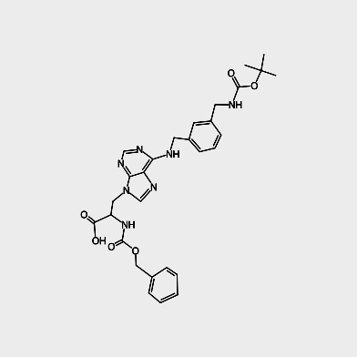 CC(C)(C)OC(=O)NCc1cccc(CNc2ncnc3c2ncn3CC(NC(=O)OCc2ccccc2)C(=O)O)c1